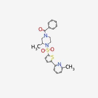 Cc1cccc(-c2ccc(S(=O)(=O)N3CCN(C(=O)c4ccccc4)CC3C)s2)n1